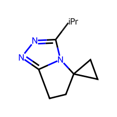 CC(C)c1nnc2n1C1(CC2)CC1